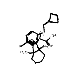 CC(=N)N(C)C(=O)C1(N)CCCCC1(C)c1cc(OCC2CCC2)ccc1F